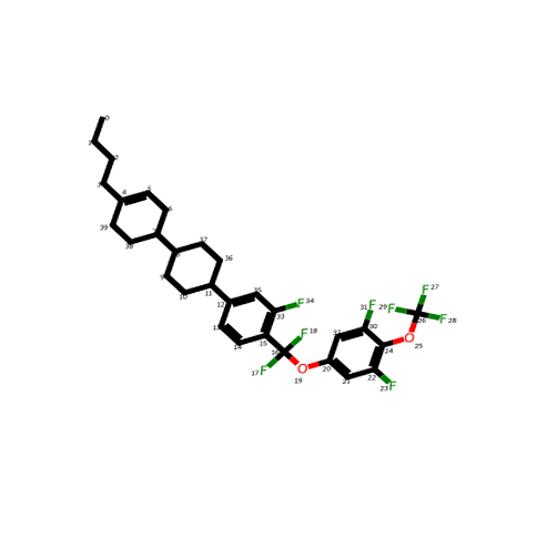 CCCCC1=CCC(C2CCC(c3ccc(C(F)(F)Oc4cc(F)c(OC(F)(F)F)c(F)c4)c(F)c3)CC2)CC1